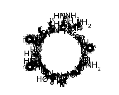 CCCC[C@H]1C(=O)N(C)[C@@H](CCCC)C(=O)N[C@@H](CCCNC(=N)N)C(=O)N[C@H](C(=O)NCC(N)=O)CSCC(=O)N[C@@H](Cc2ccccc2)C(=O)N(C)[C@@H](C)C(=O)N[C@@H](CC(N)=O)C(=O)N2CCC[C@H]2C(=O)N[C@@H](Cc2cnc[nH]2)C(=O)N[C@@H](CC(C)C)C(=O)N2C[C@H](O)C[C@H]2C(=O)N[C@@H](Cc2c[nH]c3ccccc23)C(=O)N[C@@H](CO)C(=O)N[C@@H](Cc2c[nH]c3ccccc23)C(=O)N1C